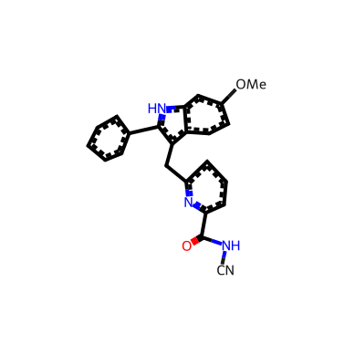 COc1ccc2c(Cc3cccc(C(=O)NC#N)n3)c(-c3ccccc3)[nH]c2c1